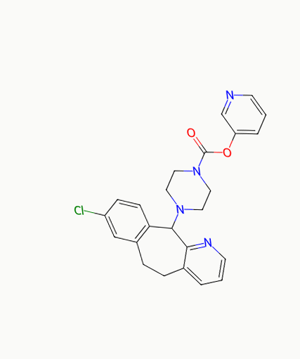 O=C(Oc1cccnc1)N1CCN(C2c3ccc(Cl)cc3CCc3cccnc32)CC1